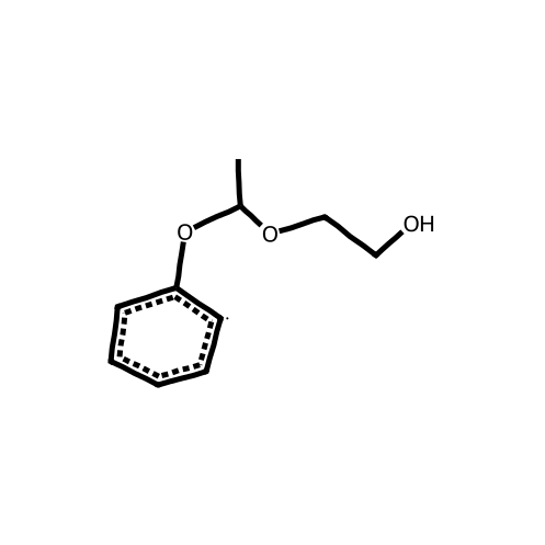 CC(OCCO)Oc1[c]cccc1